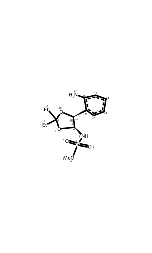 CCC1(CC)O[C@H](NS(=O)(=O)OC)[C@H](c2ccccc2N)O1